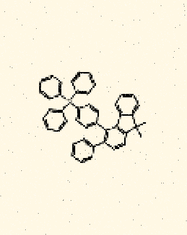 CC1(C)c2ccccc2-c2c1ccc(-c1ccccc1)c2-c1ccc([Si](c2ccccc2)(c2ccccc2)c2ccccc2)cc1